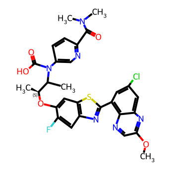 COc1cnc2c(-c3nc4cc(F)c(O[C@@H](C)C(C)N(C(=O)O)c5ccc(C(=O)N(C)C)nc5)cc4s3)cc(Cl)cc2n1